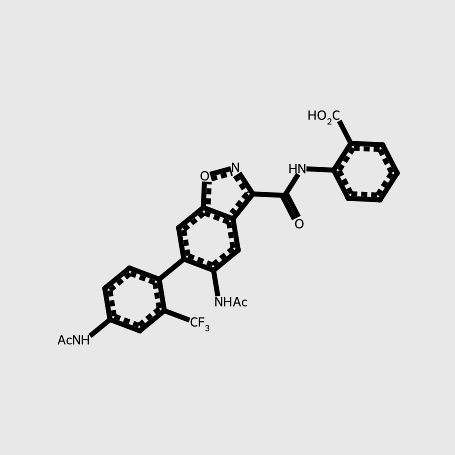 CC(=O)Nc1ccc(-c2cc3onc(C(=O)Nc4ccccc4C(=O)O)c3cc2NC(C)=O)c(C(F)(F)F)c1